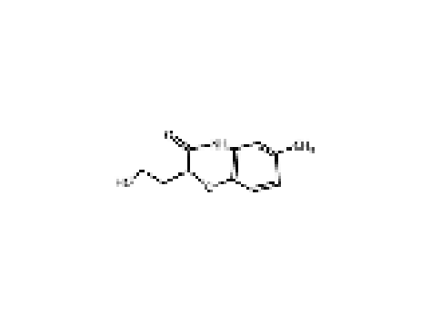 Cc1ccc2c(c1)NC(=O)C(CCO)O2